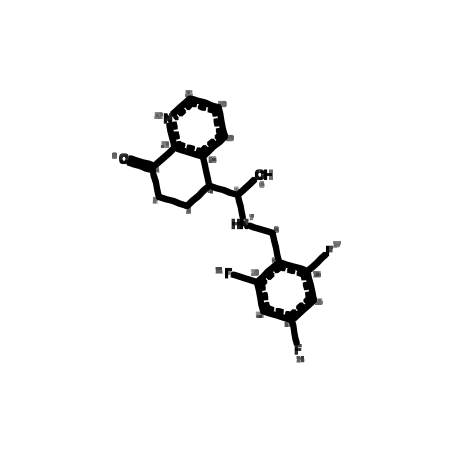 O=C1CCC(C(O)NCc2c(F)cc(F)cc2F)c2cccnc21